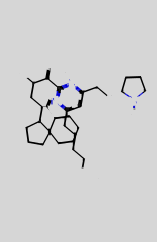 C=C[C@H]1CCCCC12CCCC2CCC(C)C(=C)c1nc(CCCCC)cc(CC[C@@H]2CCCN2C)n1